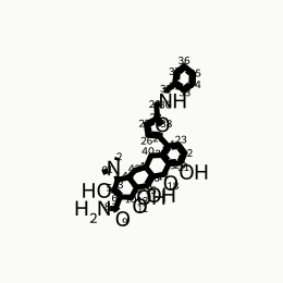 CN(C)C1C(O)=C(C(N)=O)C(=O)C2(O)C(O)=C3C(=O)c4c(O)ccc(-c5ccc(CNCc6ccccc6)o5)c4CC3CC12